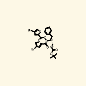 CC(C)(C)OC(=O)NC[C@@H](Cc1ccccc1)N(OC(=O)c1cc(Br)cs1)C(=O)c1cc(Br)cs1